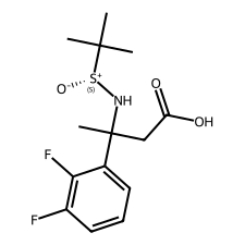 CC(CC(=O)O)(N[S@+]([O-])C(C)(C)C)c1cccc(F)c1F